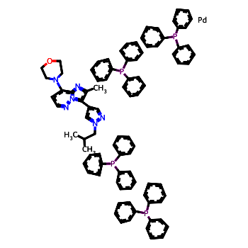 Cc1nc2c(N3CCOCC3)ccnn2c1-c1cnn(CC(C)C)c1.[Pd].c1ccc(P(c2ccccc2)c2ccccc2)cc1.c1ccc(P(c2ccccc2)c2ccccc2)cc1.c1ccc(P(c2ccccc2)c2ccccc2)cc1.c1ccc(P(c2ccccc2)c2ccccc2)cc1